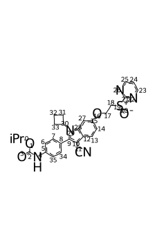 CC(C)OC(=O)Nc1ccc(-c2c(C#N)c3ccc(OCC[S+]([O-])c4ncccn4)cc3n2C2CCC2)cc1